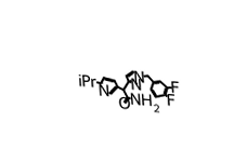 CC(C)c1ccc(C(C(N)=O)c2ccn(Cc3ccc(F)c(F)c3)n2)cn1